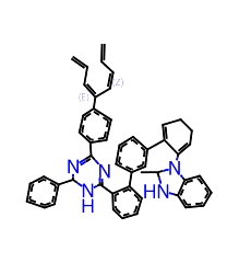 C=C/C=C\C(=C/C=C)c1ccc(C2=NC(c3ccccc3)NC(c3ccccc3-c3cccc(C4=CCCC=C4N4c5ccccc5NC4C)c3)=N2)cc1